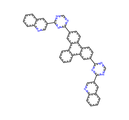 c1ccc2ncc(-c3ncnc(-c4ccc5c6ccc(-c7ncnc(-c8cnc9ccccc9c8)n7)cc6c6ccccc6c5c4)n3)cc2c1